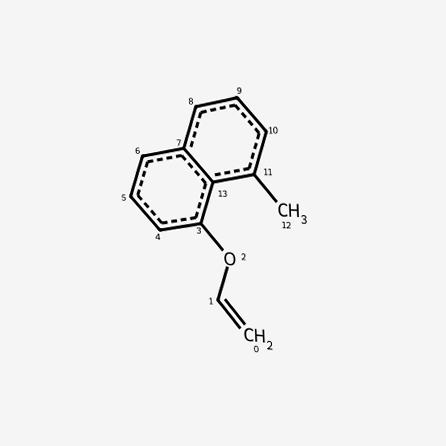 C=COc1cccc2cccc(C)c12